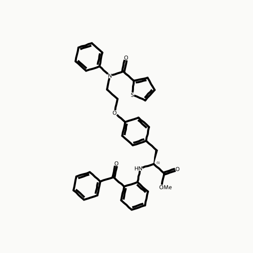 COC(=O)[C@H](Cc1ccc(OCCN(C(=O)c2cccs2)c2ccccc2)cc1)Nc1ccccc1C(=O)c1ccccc1